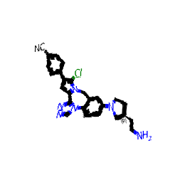 N#Cc1ccc(-c2cc3n(c2Cl)Cc2cc(N4CC[C@@H](CCN)C4)ccc2-n2cnnc2-3)cc1